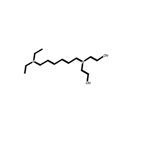 CCN(CC)CCCCCCN(CCO)CCO